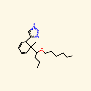 CCCCCCOC(CCC)C1(C)C=CC=CC1c1c[nH]nn1